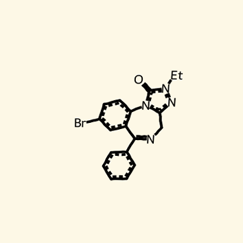 CCn1nc2n(c1=O)-c1ccc(Br)cc1C(c1ccccc1)=NC2